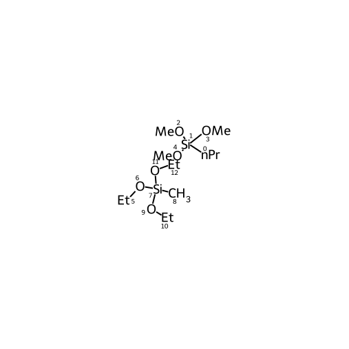 CCC[Si](OC)(OC)OC.CCO[Si](C)(OCC)OCC